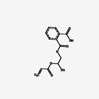 C=CC(=O)OC(O)COC(=O)c1ccccc1C(=O)O